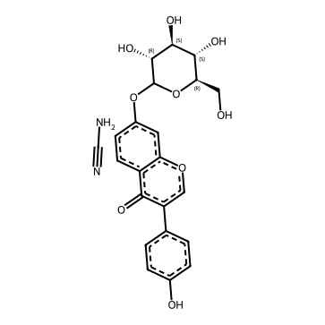 N#CN.O=c1c(-c2ccc(O)cc2)coc2cc(OC3O[C@H](CO)[C@@H](O)[C@H](O)[C@H]3O)ccc12